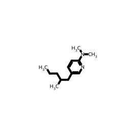 CCCC(C)Cc1ccc(N(C)C)nc1